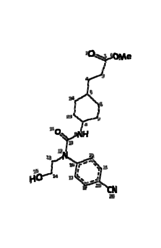 COC(=O)CCC1CCC(NC(=O)N(CCO)c2ccc(C#N)cc2)CC1